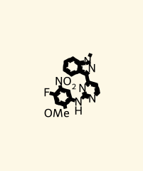 COc1cc(F)c([N+](=O)[O-])cc1Nc1nccc(-c2nn(C)c3ccccc23)n1